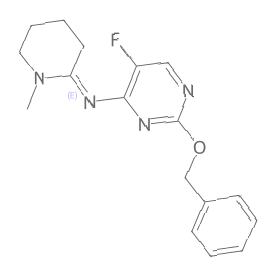 CN1CCCC/C1=N\c1nc(OCc2ccccc2)ncc1F